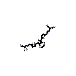 CN/C(C#N)=C\C=C\c1ccc(-c2sc(-c3ccc(/C=C/C=C(C#N)C#N)o3)c3c2OCCO3)o1